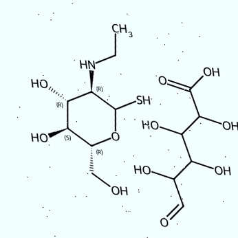 CCN[C@H]1C(S)O[C@H](CO)[C@@H](O)[C@@H]1O.O=CC(O)C(O)C(O)C(O)C(=O)O